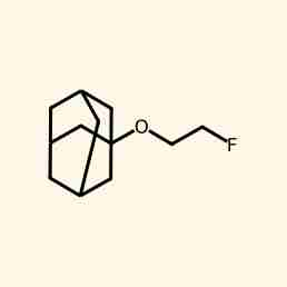 FCCOC12CC3CC(CC(C3)C1)C2